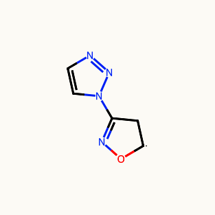 [CH]1CC(n2ccnn2)=NO1